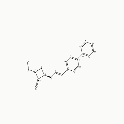 CSN1C[C@@H](C/C=C/c2ccc(-c3ccccc3)cc2)C1=O